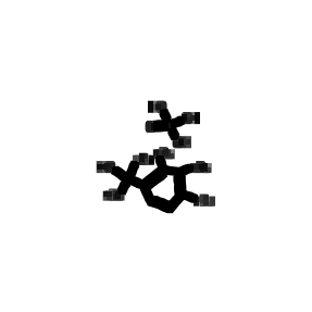 CCCCc1ccc(C(O)(CCCC)CCCC)c(CCCC)c1CCCC.O=P(O)(O)O